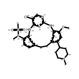 COc1cc(C2CCN(C)CC2)c2cc1Nc1ncc(Cl)c(n1)Nc1cc(ccc1N(C)S(C)(=O)=O)CC2